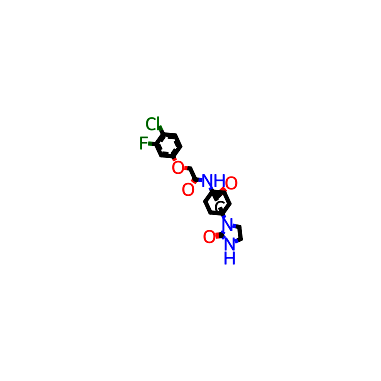 O=C(COc1ccc(Cl)c(F)c1)NC12CCC(N3CCNC3=O)(CC1)CC2=O